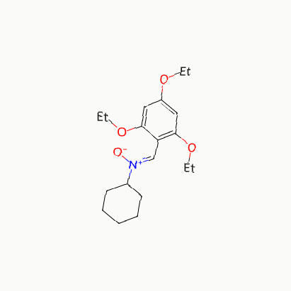 CCOc1cc(OCC)c(C=[N+]([O-])C2CCCCC2)c(OCC)c1